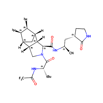 [2H][C@@H]1[C@H]([2H])[C@@H]2C[C@H]1[C@H]1[C@@H]2CN(C(=O)[C@@H](NC(=O)C(F)(F)F)C(C)(C)C)[C@@H]1C(=O)N[C@H](C#N)C[C@@H]1CCNC1=O